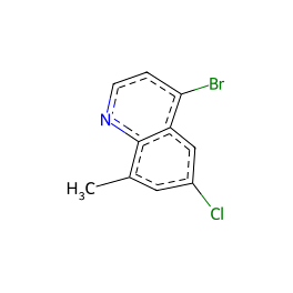 Cc1cc(Cl)cc2c(Br)ccnc12